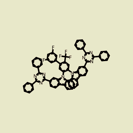 Fc1cc(F)cc(-c2cc(-n3c4ccccc4c4ccc(-c5nc(-c6ccccc6)nc(-c6ccccc6)n5)cc43)c(-n3c4ccccc4c4ccc(-c5nc(-c6ccccc6)nc(-c6ccccc6)n5)cc43)cc2C(F)(F)F)c1